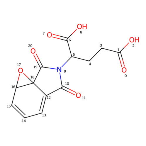 O=C(O)CCC(C(=O)O)N1C(=O)C2=CC=CC3OC23C1=O